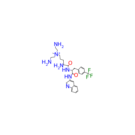 C[N+](CCN)(CCN)CCC[C@H](N)C(=O)N[C@@H](Cc1ccc(C(F)(F)F)cc1)C(=O)Nc1cnc2ccccc2c1